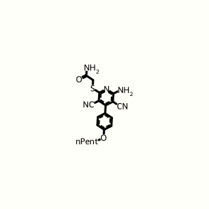 CCCCCOc1ccc(-c2c(C#N)c(N)nc(SCC(N)=O)c2C#N)cc1